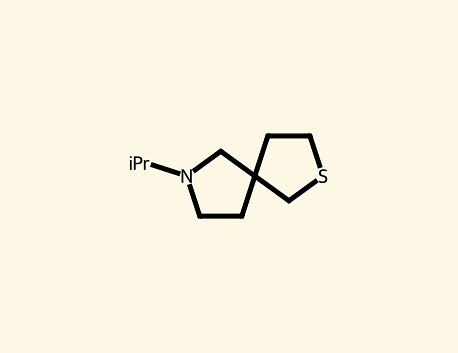 CC(C)N1CCC2(CCSC2)C1